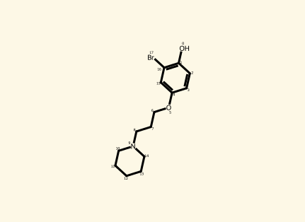 Oc1ccc(OCCCN2CCCCC2)cc1Br